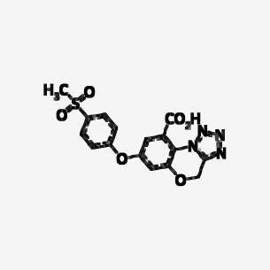 CS(=O)(=O)c1ccc(Oc2cc3c(c(C(=O)O)c2)-n2nnnc2CO3)cc1